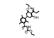 CCO/N=C(/CC)C1=C(O)CC(c2c(C)cc(C)c(C(=S)NC(=O)OCC)c2C)CC1=O